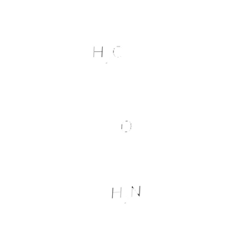 C=COCN